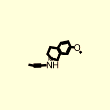 CC#CN[C@@H]1CCc2ccc(OC)cc2C1